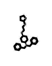 c1ccc(CN(Cc2ccccc2)[C@H]2CC[C@H](OCCOC3CCCO3)CC2)cc1